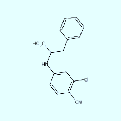 N#Cc1ccc(NC(Cc2ccccc2)C(=O)O)cc1Cl